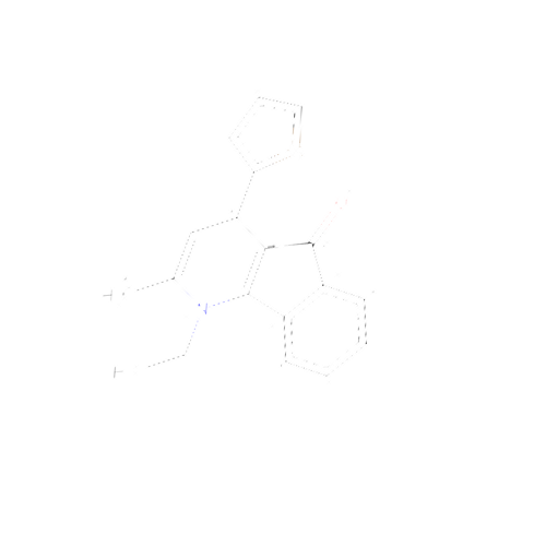 CCN1C(C)=CC(c2cccs2)C2=C1c1ccccc1C2=O